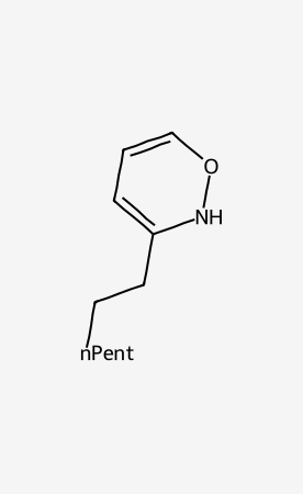 CCCCCCCC1=CC=CON1